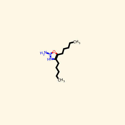 CCCCCC1=C(CCCCC)ON(N)N1